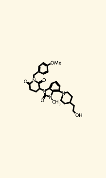 COc1ccc(CN2C(=O)CCC(n3c(=O)n(C)c4c(N5CCC(CCO)CC5)cccc43)C2=O)cc1